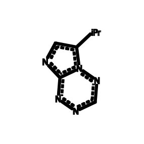 CC(C)c1cnc2nncnn12